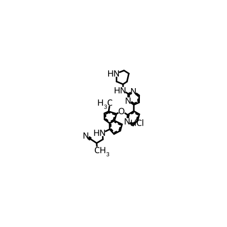 Cc1ccc2c(NCC(C)C#N)cccc2c1Oc1ncccc1-c1ccnc(NC2CCCNC2)n1.Cl